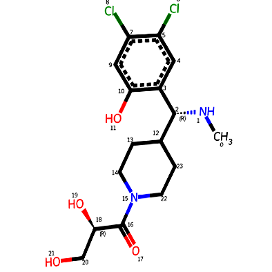 CN[C@@H](c1cc(Cl)c(Cl)cc1O)C1CCN(C(=O)[C@H](O)CO)CC1